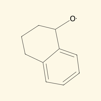 [O]C1CCCc2ccccc21